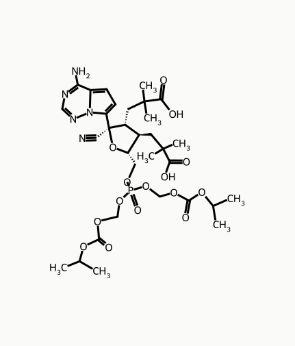 CC(C)OC(=O)OCOP(=O)(OCOC(=O)OC(C)C)OC[C@@H]1O[C@@](C#N)(c2ccc3c(N)ncnn23)[C@H](CC(C)(C)C(=O)O)[C@H]1CC(C)(C)C(=O)O